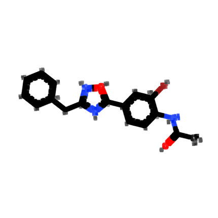 O=C(Nc1ccc(-c2nc(Cc3ccccc3)no2)cc1Br)C(F)(F)F